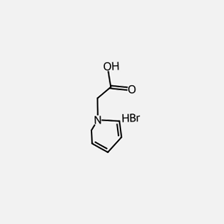 Br.O=C(O)CN1C=CC=CC1